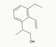 [CH2]C(CO)c1cccc(CC)c1C=C